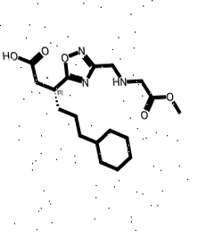 COC(=O)CNCc1noc([C@H](CCCC2CCCCC2)CC(=O)O)n1